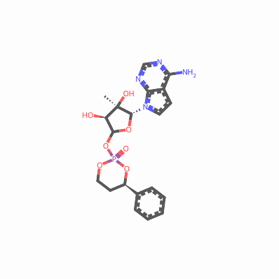 C[C@@]1(O)[C@H](O)C(OP2(=O)OCC[C@H](c3ccccc3)O2)O[C@H]1n1ccc2c(N)ncnc21